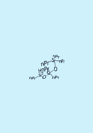 CCC[SiH2]O[Si](CCC)(CCC)O[Si](CCC)(CCC)CCC